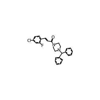 O=C(C=Cc1ccc(Cl)cc1F)N1CCN(C(c2ccccc2)c2ccccc2)CC1